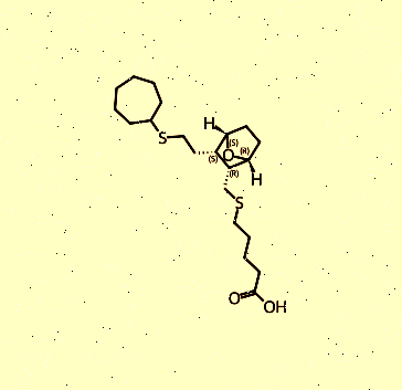 O=C(O)CCCCSC[C@@H]1[C@H](CCSC2CCCCCC2)[C@@H]2CC[C@H]1O2